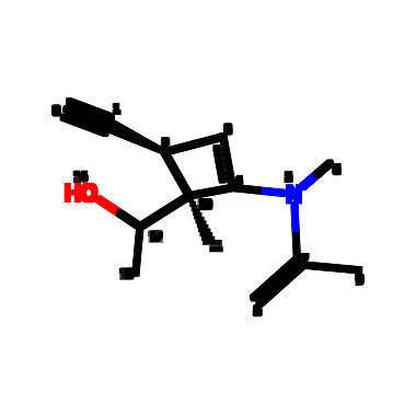 C#C[C@H]1C=C(N(C)C(=C)C)[C@@]1(C)C(C)O